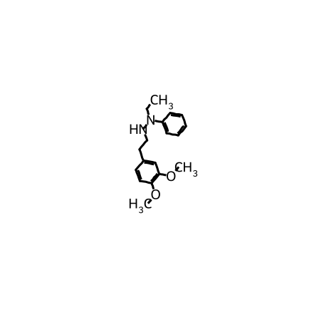 CCN(NCCc1ccc(OC)c(OC)c1)c1ccccc1